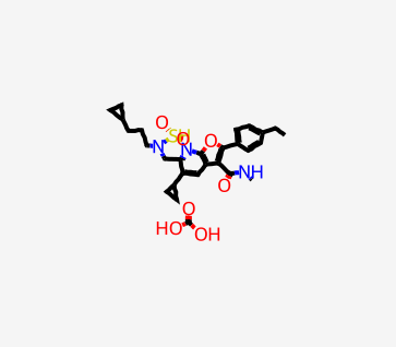 CCc1ccc(-c2oc3nc(CN(CCCC4CC4)[SH](=O)=O)c(C4CC4)cc3c2C(=O)NC)cc1.O=C(O)O